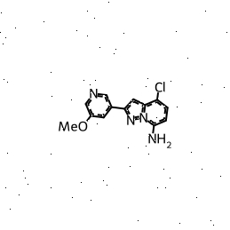 COc1cncc(-c2cc3c(Cl)ccc(N)n3n2)c1